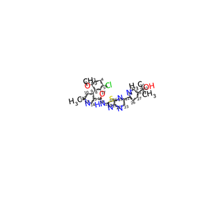 COc1ccc(Cl)cc1-c1cc(C)ncc1C(=O)Nc1nc2ncc(-c3ccc(C(C)(C)O)cn3)nc2s1